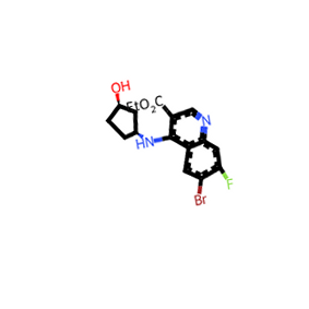 CCOC(=O)c1cnc2cc(F)c(Br)cc2c1N[C@H]1CC[C@@H](O)C1